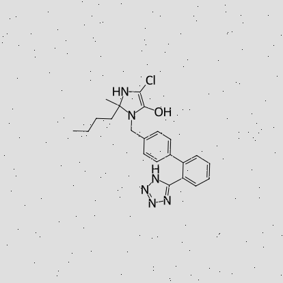 CCCCC1(C)NC(Cl)=C(O)N1Cc1ccc(-c2ccccc2-c2nnn[nH]2)cc1